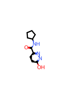 O=C(NC1CCCC1)c1ccc(O)nn1